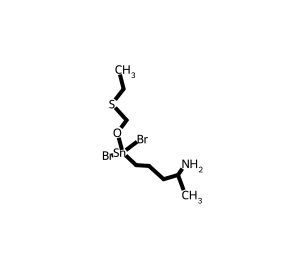 CCSC[O][Sn]([Br])([Br])[CH2]CCC(C)N